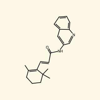 CC1=C(/C=C/C(=O)Nc2cnc3ccccc3c2)C(C)(C)CCC1